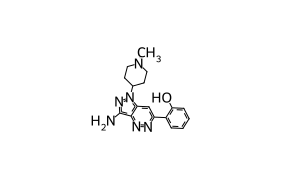 CN1CCC(n2nc(N)c3nnc(-c4ccccc4O)cc32)CC1